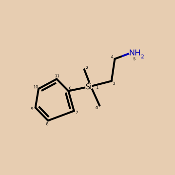 C[Si](C)(CCN)c1ccccc1